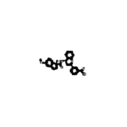 COc1ccc2c(c1)CC[C@@]2(C)C(=O)N[C@@H]1C[C@H](c2cccc(C(=O)O)c2)Oc2ccccc21